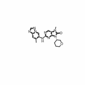 Cc1cc2ncnn2cc1Nc1ncc2c(n1)n([C@H]1CCCOC1)c(=O)n2C